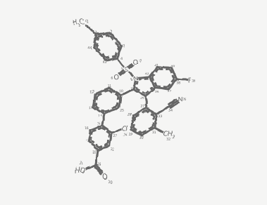 Cc1ccc(S(=O)(=O)n2c(-c3cccc(-c4ccc(C(=O)O)cc4Cl)c3)c(-c3cccc(C)c3C#N)c3cc(F)ccc32)cc1